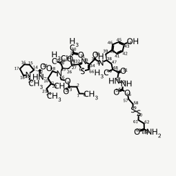 CCCC(=O)OCN(C(=O)[C@@H](NC(=O)[C@H]1CCCCN1C)C(C)CC)[C@H](C[C@@H](OC(C)=O)c1nc(C(=O)N[C@@H](Cc2ccc(O)cc2)CC(C)C(=O)NNC(=O)OCCSSCCC(N)=O)cs1)C(C)C